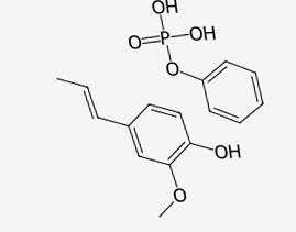 CC=Cc1ccc(O)c(OC)c1.O=P(O)(O)Oc1ccccc1